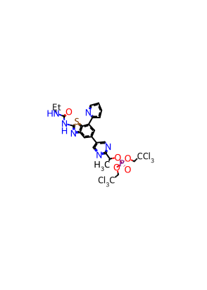 CCNC(=O)Nc1nc2cc(-c3cnc(C(C)OP(=O)(OCC(Cl)(Cl)Cl)OCC(Cl)(Cl)Cl)nc3)cc(-c3ccccn3)c2s1